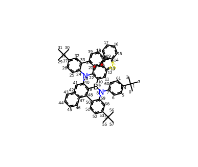 CC(C)(C)c1ccc(N2B3c4cc5sc6ccccc6c5cc4N(c4ccc(C(C)(C)C)cc4-c4ccccc4)c4cc5ccccc5c(c43)-c3ccc(C(C)(C)C)cc32)cc1